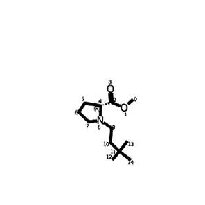 COC(=O)[C@H]1CCCN1CCC(C)(C)C